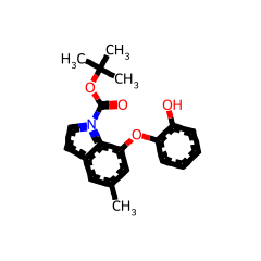 Cc1cc(Oc2ccccc2O)c2c(ccn2C(=O)OC(C)(C)C)c1